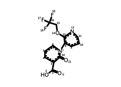 O=C(O)c1cccn(-c2cccnc2OCC(F)(F)F)c1=O